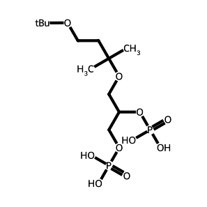 CC(C)(C)OCCC(C)(C)OCC(COP(=O)(O)O)OP(=O)(O)O